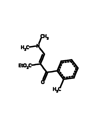 CCOC(=O)C(=CN(C)C)C(=O)c1ccccc1C